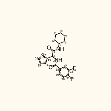 O=C(NC(C(=O)NC1CCCCC1)c1cccs1)c1ccc(F)c(F)c1